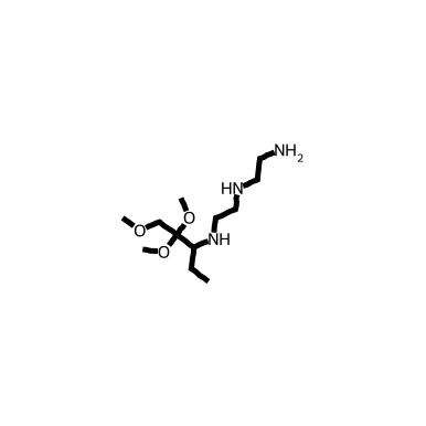 CCC(NCCNCCN)C(COC)(OC)OC